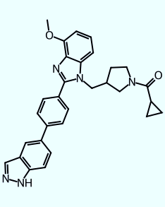 COc1cccc2c1nc(-c1ccc(-c3ccc4[nH]ncc4c3)cc1)n2CC1CCN(C(=O)C2CC2)C1